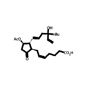 C=CC(O)(C/C=C/[C@H]1[C@H](OC(C)=O)CC(=O)[C@@H]1C/C=C\CCCC(=O)O)CCCC